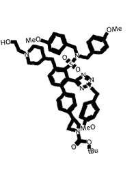 COc1ccc(CN(Cc2ccc(OC)cc2)S(=O)(=O)c2c(CC3CCN(CCO)CC3)ccc(-c3ccc(C4CN(C(=O)OC(C)(C)C)C4)cc3)c2-c2nnn(Cc3ccc(OC)cc3)n2)cc1